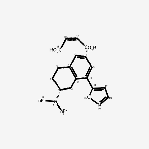 CCCN(CCC)[C@@H]1CCc2cccc(-c3ccno3)c2C1.O=C(O)/C=C\C(=O)O